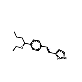 CCCC(OCC)c1ccc(/C=C/c2cc[nH]n2)cc1